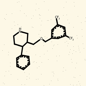 FC(F)(F)c1cc(COCC2CNCCC2c2ccccc2)cc(C(F)(F)F)c1